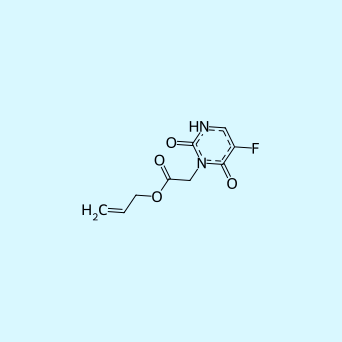 C=CCOC(=O)Cn1c(=O)[nH]cc(F)c1=O